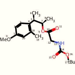 COc1ccc([C@@H](C)[C@@H](C)OC(=O)CNC(=O)OC(C)(C)C)c(C)c1